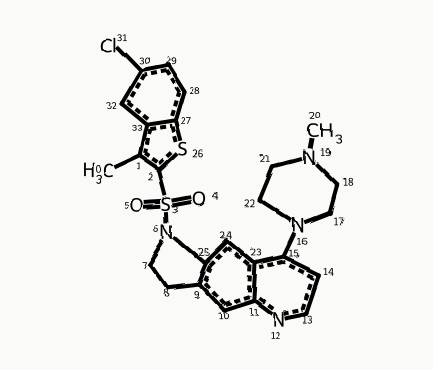 Cc1c(S(=O)(=O)N2CCc3cc4nccc(N5CCN(C)CC5)c4cc32)sc2ccc(Cl)cc12